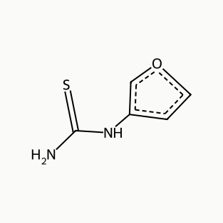 NC(=S)Nc1ccoc1